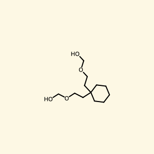 OCOCCC1(CCOCO)CCCCC1